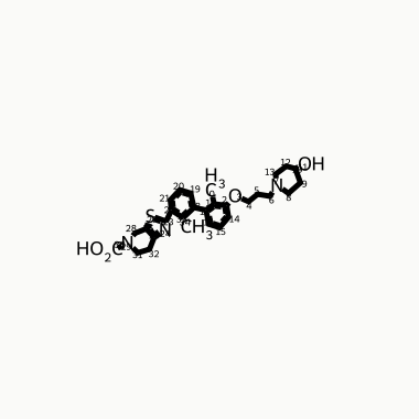 Cc1c(OCCCN2CCC(O)CC2)cccc1-c1cccc(-c2nc3c(s2)CN(C(=O)O)CC3)c1C